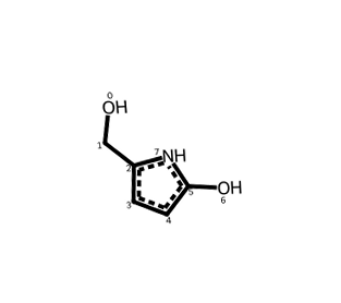 OCc1ccc(O)[nH]1